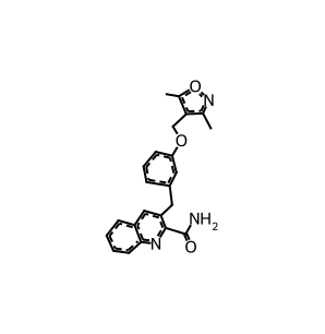 Cc1noc(C)c1COc1cccc(Cc2cc3ccccc3nc2C(N)=O)c1